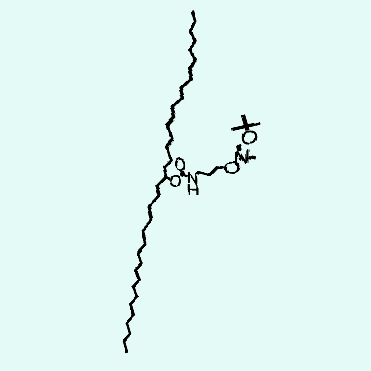 CCCCCCCCCCCCCCCCCCC(CCCCCCCCCCCCCCCCC)OC(=O)NCCCON(C)COC(C)(C)C